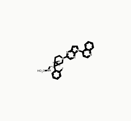 O=C(O)NC[C@]1(c2ccccc2F)[C@@H]2CCN(c3cnc4c(ccn4-c4ccnc5ccccc45)n3)C[C@@H]21